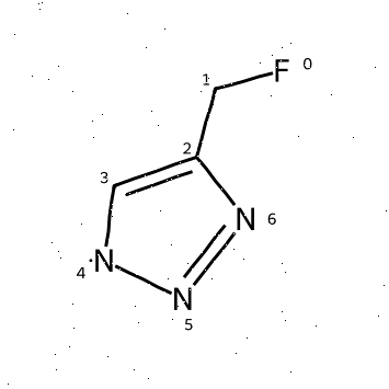 FCC1=C[N]N=N1